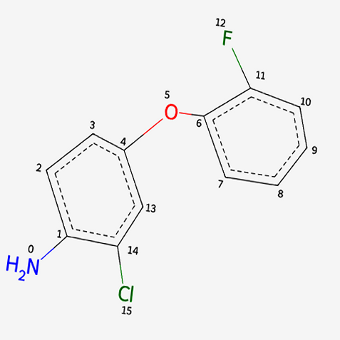 Nc1ccc(Oc2ccccc2F)cc1Cl